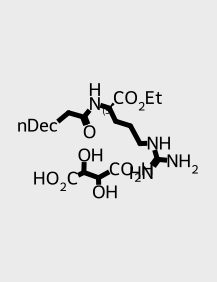 CCCCCCCCCCCC(=O)N[C@@H](CCCNC(=N)N)C(=O)OCC.O=C(O)C(O)C(O)C(=O)O